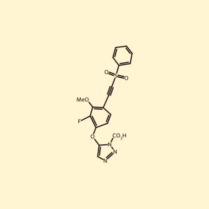 COc1c(C#CS(=O)(=O)c2ccccc2)ccc(Oc2cnnn2C(=O)O)c1F